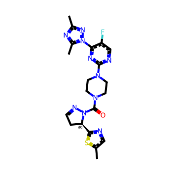 Cc1nc(C)n(-c2nc(N3CCN(C(=O)N4N=CC[C@@H]4c4ncc(C)s4)CC3)ncc2F)n1